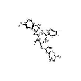 COc1ccc(C=C(NC(=O)c2ccccc2)C(=O)NN=C2C(=O)Nc3ccc(Br)cc32)cc1OC